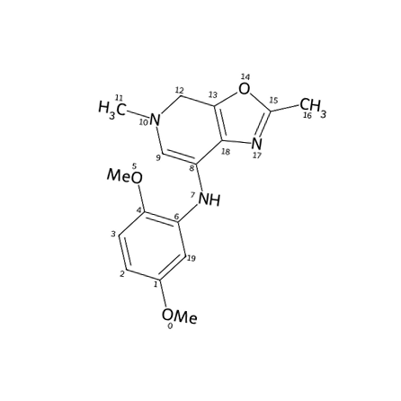 COc1ccc(OC)c(NC2=CN(C)Cc3oc(C)nc32)c1